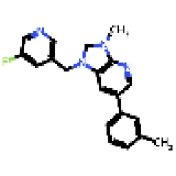 Cc1cccc(-c2cnc3c(c2)N(Cc2cncc(F)c2)CN3C)c1